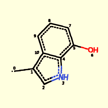 [CH2]c1c[nH]c2c(O)cccc12